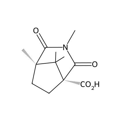 CN1C(=O)[C@@]2(C(=O)O)CC[C@@](C)(C1=O)C2(C)C